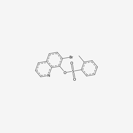 Cc1ccccc1S(=O)(=O)Oc1c(Br)ccc2cccnc12